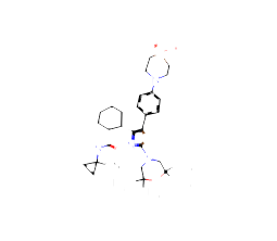 CC1(C)CN(c2nc([C@@H]3CCCC[C@H]3C(=O)NC3(C#N)CC3)c(-c3ccc(N4CCS(O)(O)CC4)cc3)s2)CC(C)(C)O1